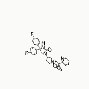 C[N+]1(CC(=O)c2ccccn2)CCC(N2CC(c3ccc(F)cc3)(c3ccc(F)cc3)NC2=O)C1